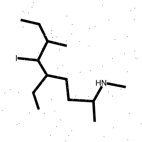 CCC(C)C(I)C(CC)CCC(C)NC